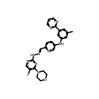 Cc1cc(Nc2ccc(/C=N/Nc3ncc(F)c(N4CCOCC4)n3)nc2)cc(-c2ncccn2)c1